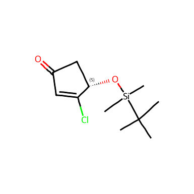 CC(C)(C)[Si](C)(C)O[C@H]1CC(=O)C=C1Cl